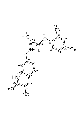 CCc1cc2ncc(CN3C[C@H](Oc4ccc(F)cc4C#N)[C@H]3C)cc2[nH]c1=O